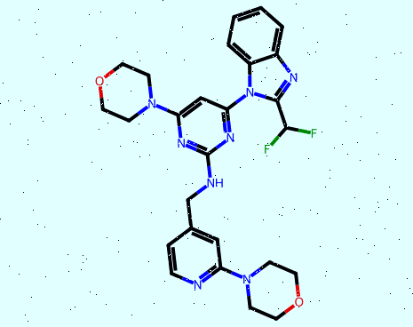 FC(F)c1nc2ccccc2n1-c1cc(N2CCOCC2)nc(NCc2ccnc(N3CCOCC3)c2)n1